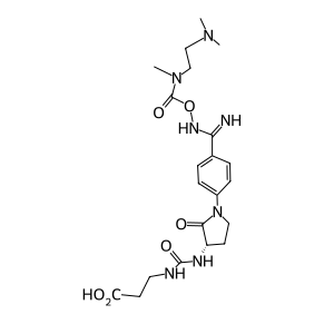 CN(C)CCN(C)C(=O)ONC(=N)c1ccc(N2CC[C@H](NC(=O)NCCC(=O)O)C2=O)cc1